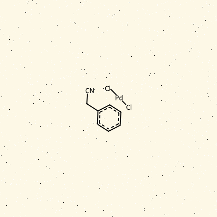 N#CCc1ccccc1.[Cl][Pd][Cl]